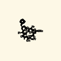 CSCC[C@H](NC(=O)[C@@H](NC(=O)OC(C)(C)C)C(C)C)C(=O)N[C@@H](CC(C)C)[C@@H](O)C[C@@H](C)C(=O)N[C@@H](C(C)C)[C@H]1C[C@H](Cc2ccccc2)CC(=O)O1